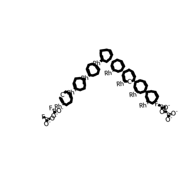 [O-]B([O-])F.[O-]B([O-])F.[O-]B([O-])F.[O-]B([O-])F.[Rh+]/[C]1=C/CC/C=C\CC1.[Rh+]/[C]1=C/CC/C=C\CC1.[Rh+]/[C]1=C/CC/C=C\CC1.[Rh+]/[C]1=C/CC/C=C\CC1.[Rh+]/[C]1=C/CC/C=C\CC1.[Rh+]/[C]1=C/CC/C=C\CC1.[Rh+]/[C]1=C/CC/C=C\CC1.[Rh+]/[C]1=C/CC/C=C\CC1